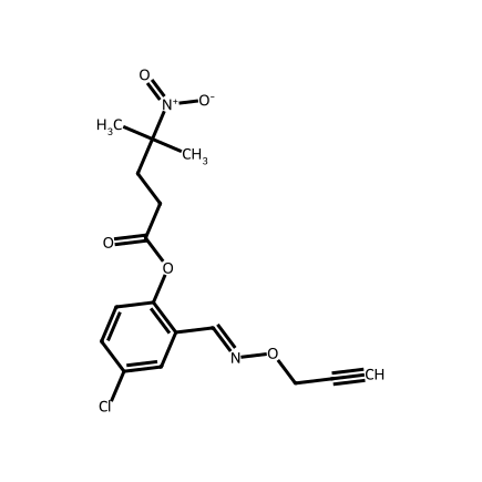 C#CCON=Cc1cc(Cl)ccc1OC(=O)CCC(C)(C)[N+](=O)[O-]